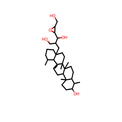 CC1CCCC2(CC(CO)C(O)C3OC3CO)CCC3(C)C(=CCC4C5(C)CCC(O)C(C)C5CCC43C)C12